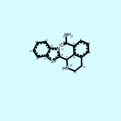 NC(=O)c1cccc2c1C(c1nc3ccccc3s1)NCC2